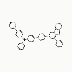 C1=CCCC(C2=CCC(N(c3ccccc3)C3C=CC(C4C=CC(C5C=c6c(sc7ccccc67)=C(c6ccccc6)C5)=CC4)=CC3)C=C2)=C1